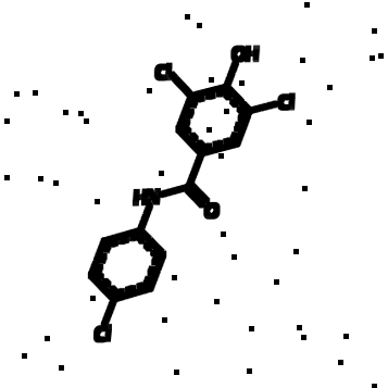 O=C(Nc1ccc(Cl)cc1)c1cc(Cl)c(O)c(Cl)c1